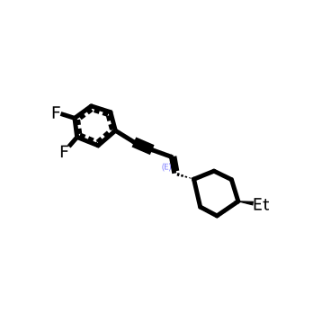 CC[C@H]1CC[C@H](/C=C/C#Cc2ccc(F)c(F)c2)CC1